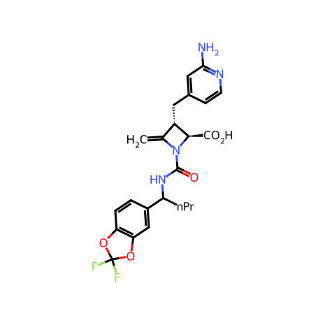 C=C1[C@H](Cc2ccnc(N)c2)[C@@H](C(=O)O)N1C(=O)NC(CCC)c1ccc2c(c1)OC(F)(F)O2